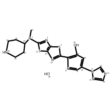 CN(c1nc2sc(-c3ncc(-n4cncn4)cc3O)nc2s1)C1CCNCC1.Cl